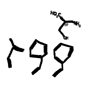 C=CC(=C)C.C=Cc1ccccc1.C=Cc1ccccc1.N[C@@H](CO)C(=O)O